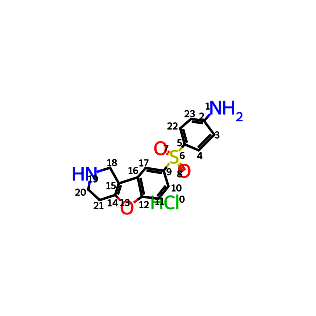 Cl.Nc1ccc(S(=O)(=O)c2ccc3oc4c(c3c2)CNCC4)cc1